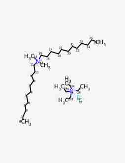 CCCCCCCCCCCC[N+](C)(C)CCCCCCCCCCCC.CC[N+](CC)(CC)CC.[F-].[F-]